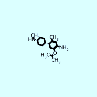 CN[C@H]1CC[C@H](C2CC(OC(C)C)=C(N)C=C2C)CC1